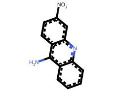 Nc1c2ccccc2nc2cc([N+](=O)[O-])ccc12